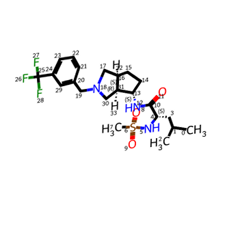 CC(C)C[C@H](NS(C)(=O)=O)C(=O)N[C@H]1CC[C@@H]2CN(Cc3cccc(C(F)(F)F)c3)C[C@@H]21